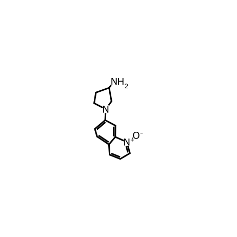 NC1CCN(c2ccc3ccc[n+]([O-])c3c2)C1